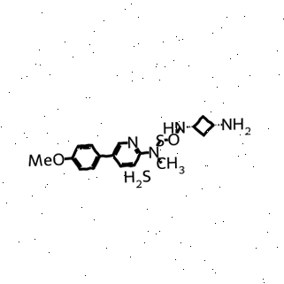 COc1ccc(-c2ccc(N(C)SON[C@H]3C[C@@H](N)C3)nc2)cc1.S